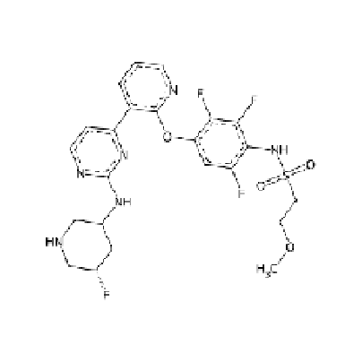 COCCS(=O)(=O)Nc1c(F)cc(Oc2ncccc2-c2ccnc(NC3CNC[C@@H](F)C3)n2)c(F)c1F